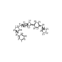 c1ccc(CN2CC[C@@H](CNCC3CC(c4ccc(CN5CCCC5)cc4)C3)C2)cc1